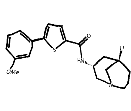 COc1cccc(-c2ccc(C(=O)N[C@@H]3C[C@@H]4CCN(C4)C3)s2)c1